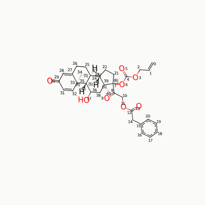 C=CCOC(=O)O[C@]1(C(=O)COC(=O)Cc2ccccc2)CC[C@H]2[C@@H]3CCC4=CC(=O)C=C[C@]4(C)[C@H]3C(O)C[C@@]21C